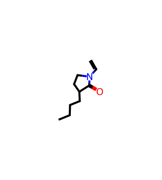 C=CN1CCC(CCCC)C1=O